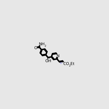 CCOC(=O)/C=C/c1cc([C@H](O)c2ccc(C(N)=O)cc2)ccn1